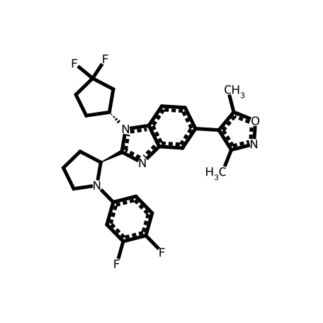 Cc1noc(C)c1-c1ccc2c(c1)nc([C@@H]1CCCN1c1ccc(F)c(F)c1)n2[C@@H]1CCC(F)(F)C1